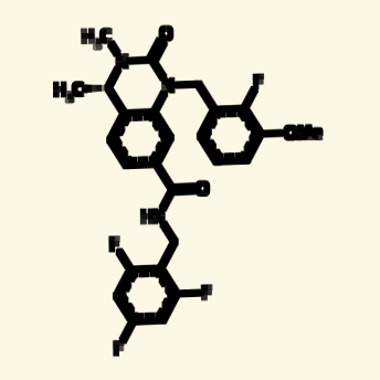 COc1cccc(CN2C(=O)N(C)[C@@H](C)c3ccc(C(=O)NCc4c(F)cc(F)cc4F)cc32)c1F